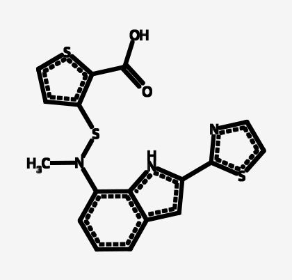 CN(Sc1ccsc1C(=O)O)c1cccc2cc(-c3nccs3)[nH]c12